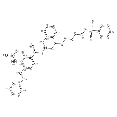 O=c1ccc2c([C@@H](O)CN(CCCCCCOCC(F)(F)c3ccccc3)Cc3ccccc3)ccc(OCc3ccccc3)c2[nH]1